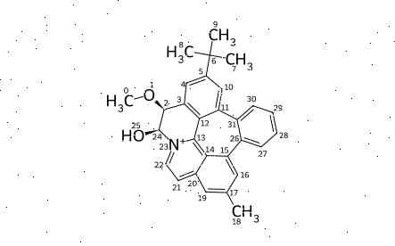 CO[C@H]1c2cc(C(C)(C)C)cc3c2-c2c4c(cc(C)cc4cc[n+]2[C@H]1O)-c1ccccc1-3